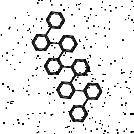 c1ccc(-c2ccccc2-c2ccccc2-c2ccccc2-c2ccccc2-c2ccccc2-c2ccccc2-c2ccccc2)cc1